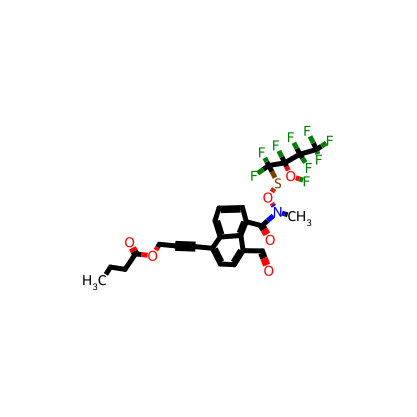 CCCC(=O)OCC#Cc1ccc(C=O)c2c(C(=O)N(C)OSC(F)(F)C(F)(OF)C(F)(F)C(F)(F)F)cccc12